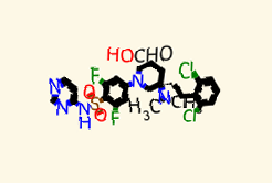 CN(C)[C@]1(CCc2c(Cl)cccc2Cl)CCCN(c2cc(F)c(S(=O)(=O)Nc3ccncn3)c(F)c2)C1.O=CO